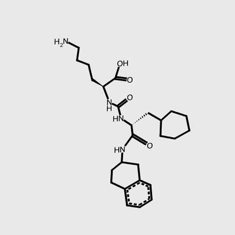 NCCCC[C@H](NC(=O)N[C@H](CC1CCCCC1)C(=O)NC1CCc2ccccc2C1)C(=O)O